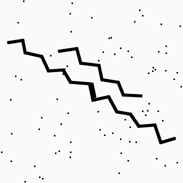 CCCCCCCC.CCCCCCCC=CCCCCCCC